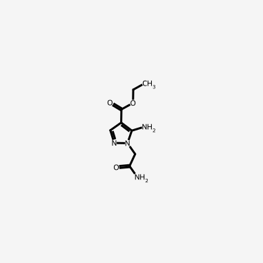 CCOC(=O)c1cnn(CC(N)=O)c1N